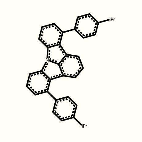 CC(C)c1ccc(-c2cccc3c2c2cccc4c5c(-c6ccc(C(C)C)cc6)cccc5n3c24)cc1